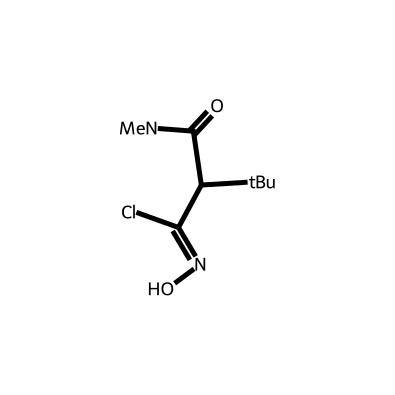 CNC(=O)C(C(Cl)=NO)C(C)(C)C